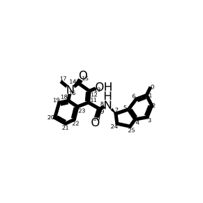 Cc1ccc2c(c1)[C@H](NC(=O)c1c(O)c(=O)n(C)c3ccccc13)CC2